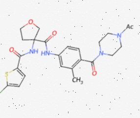 CC(=O)N1CCN(C(=O)c2ccc(NC(=O)C3(NC(=O)c4ccc(Cl)s4)CCOC3)cc2C)CC1